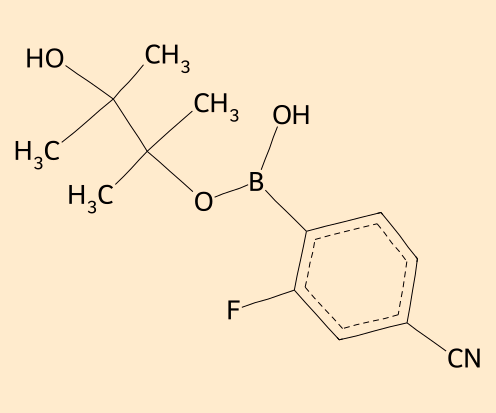 CC(C)(O)C(C)(C)OB(O)c1ccc(C#N)cc1F